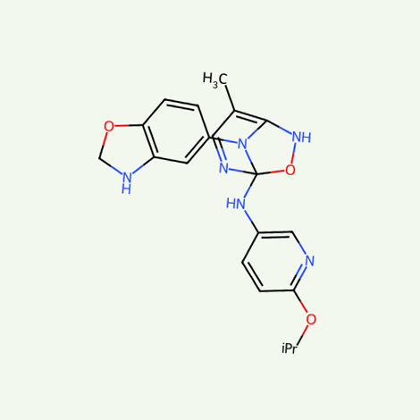 CC1=C2NOC(Nc3ccc(OC(C)C)nc3)(N=C1)N2c1ccc2c(c1)NCO2